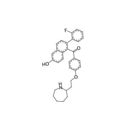 O=C(c1ccc(OCCC2CCCCCN2)cc1)c1c(-c2ccccc2F)ccc2cc(O)ccc12